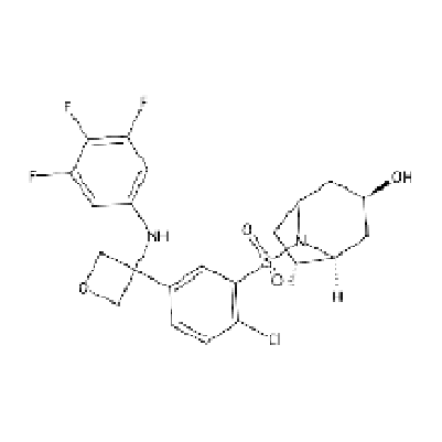 C[C@@H]1CC2C[C@@H](O)C[C@@H]1N2S(=O)(=O)c1cc(C2(Nc3cc(F)c(F)c(F)c3)COC2)ccc1Cl